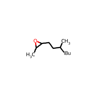 CCC(C)C(C)CCC1OC1C